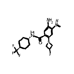 CNc1cc(N2CC(F)C2)c(C(=O)N[C@H]2CC[C@H](C(F)(F)F)CC2)cc1N